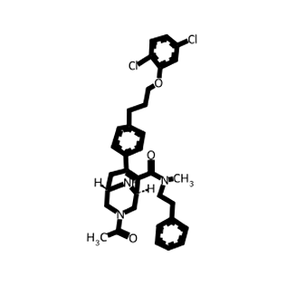 CC(=O)N1C[C@H]2CC(c3ccc(CCCOc4cc(Cl)ccc4Cl)cc3)=C(C(=O)N(C)CCc3ccccc3)[C@@H](C1)N2